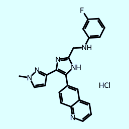 Cl.Cn1ccc(-c2nc(CNc3cccc(F)c3)[nH]c2-c2ccc3ncccc3c2)n1